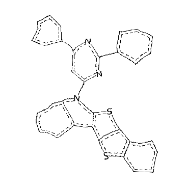 c1ccc(-c2cc(-n3c4ccccc4c4c5sc6ccccc6c5sc43)nc(-c3ccccc3)n2)cc1